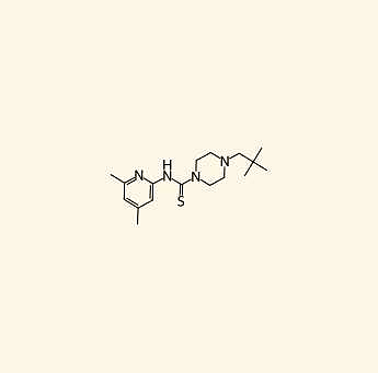 Cc1cc(C)nc(NC(=S)N2CCN(CC(C)(C)C)CC2)c1